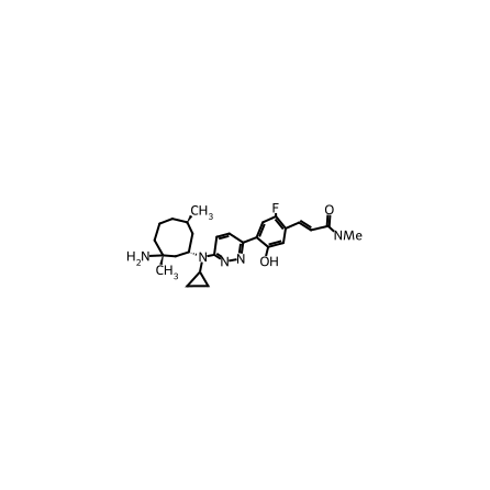 CNC(=O)/C=C/c1cc(O)c(-c2ccc(N(C3CC3)[C@H]3C[C@H](C)CCC[C@@](C)(N)C3)nn2)cc1F